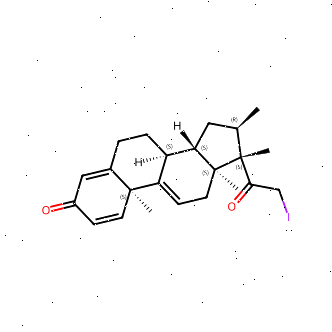 C[C@@H]1C[C@H]2[C@@H]3CCC4=CC(=O)C=C[C@]4(C)C3=CC[C@]2(C)[C@@]1(C)C(=O)CI